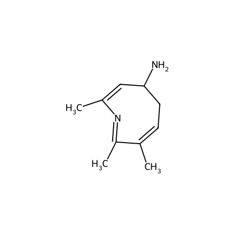 CC1=C\C(N)C\C=C(C)/C(C)=N/1